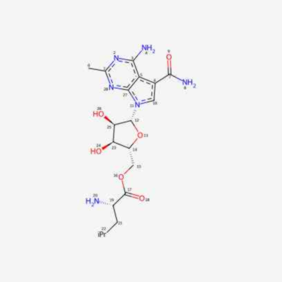 Cc1nc(N)c2c(C(N)=O)cn([C@@H]3O[C@H](COC(=O)[C@@H](N)CC(C)C)[C@@H](O)[C@H]3O)c2n1